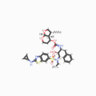 CN[C@H]1CO[C@@H]2OCC[C@H](OC(=O)N[C@@H](Cc3ccccc3)[C@H](O)CN(CC(C)C)S(=O)(=O)c3ccc4nc(NC5CC5)sc4c3)[C@@H]21